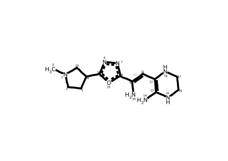 CN1CCC(c2nnc(/C(N)=C/C3=C(N)NCCN3)o2)C1